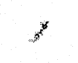 O=C(COc1ccc(C(F)F)c(Cl)c1)N[C@H]1CO[C@H](C(=O)O)OC1